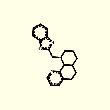 c1cnc2c(c1)CCC1CCCN(Cc3nc4ccccc4[nH]3)C21